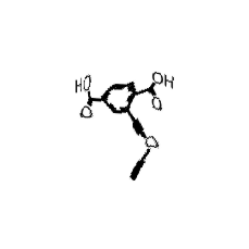 C#COC#Cc1cc(C(=O)O)ccc1C(=O)O